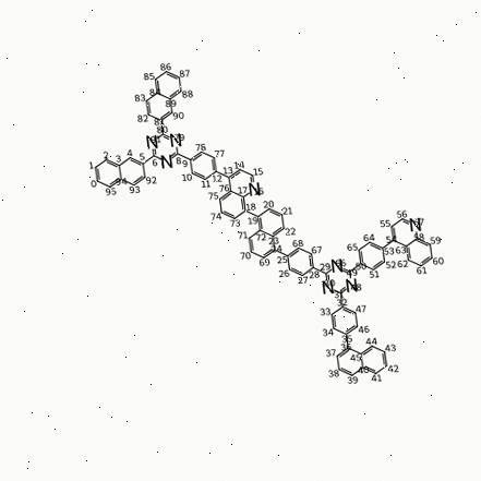 c1ccc2cc(-c3nc(-c4ccc(-c5ccnc6c(-c7cccc8c(-c9ccc(-c%10nc(-c%11ccc(-c%12cccc%13ccccc%12%13)cc%11)nc(-c%11ccc(-c%12ccnc%13ccccc%12%13)cc%11)n%10)cc9)cccc78)cccc56)cc4)nc(-c4ccc5ccccc5c4)n3)ccc2c1